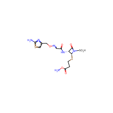 NOC(=O)CCS[C@H]1[C@H](NC(=O)C=NOCc2csc(N)n2)C(=O)N1S(=O)(=O)O